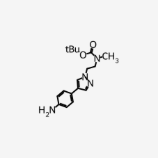 CN(CCn1cc(-c2ccc(N)cc2)cn1)C(=O)OC(C)(C)C